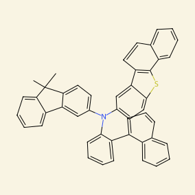 CC1(C)c2ccccc2-c2cc(N(c3ccc4sc5c6ccccc6ccc5c4c3)c3ccccc3-c3cccc4ccccc34)ccc21